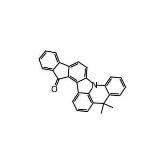 CC1(C)c2ccccc2-n2c3ccc4c(c3c3cccc1c32)C(=O)c1ccccc1-4